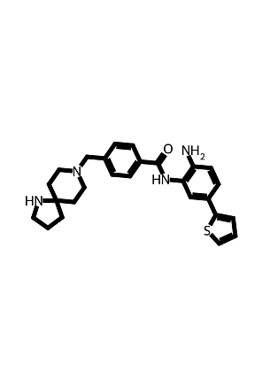 Nc1ccc(-c2cccs2)cc1NC(=O)c1ccc(CN2CCC3(CCCN3)CC2)cc1